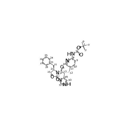 CC(C)(C)OC(=O)Nc1ccc(C[C@@H](C(=O)N2C(=O)OC[C@H]2Cc2ccccc2)c2c[nH]cn2)cn1